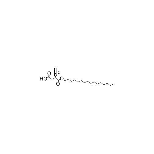 CCCCCCCCCCCCCCCCOC(=O)C(N)CC(=O)O